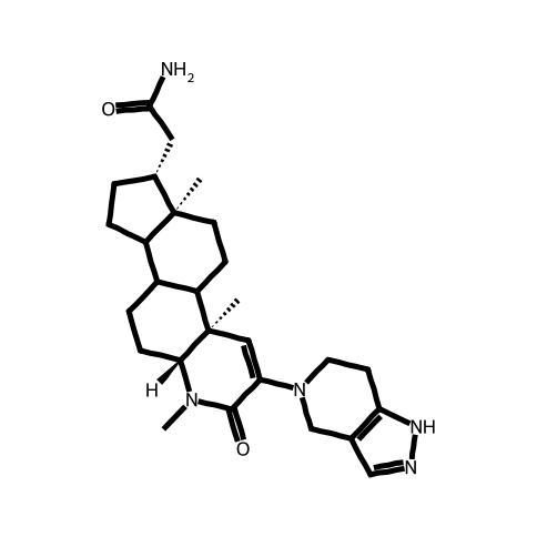 CN1C(=O)C(N2CCc3[nH]ncc3C2)=C[C@]2(C)C3CC[C@@]4(C)C(CC[C@@H]4CC(N)=O)C3CC[C@@H]12